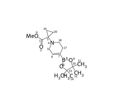 COC(=O)C1(N2CC=C(B3OC(C)(C)C(C)(C)O3)CC2)CC1